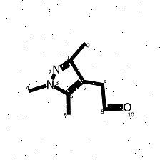 Cc1nn(C)c(C)c1CC=O